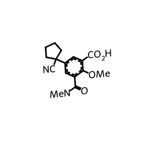 CNC(=O)c1cc(C2(C#N)CCCC2)cc(C(=O)O)c1OC